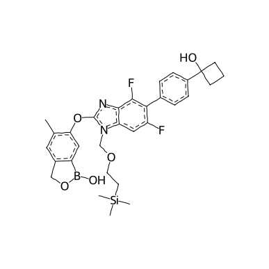 Cc1cc2c(cc1Oc1nc3c(F)c(-c4ccc(C5(O)CCC5)cc4)c(F)cc3n1COCC[Si](C)(C)C)B(O)OC2